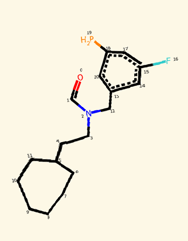 O=CN(CCC1CCCCCC1)Cc1cc(F)cc(P)c1